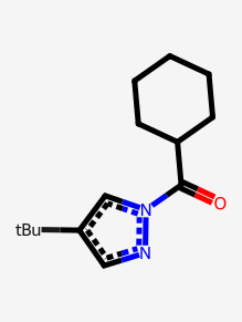 CC(C)(C)c1cnn(C(=O)C2CCCCC2)c1